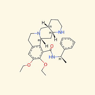 CCOc1cc2c(c(C(=O)N[C@H](C)c3ccccc3)c1OCC)[C@H]1C[C@H]3NCCC[C@H]3CN1CC2